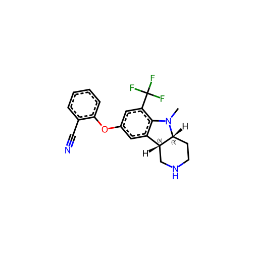 CN1c2c(cc(Oc3ccccc3C#N)cc2C(F)(F)F)[C@H]2CNCC[C@H]21